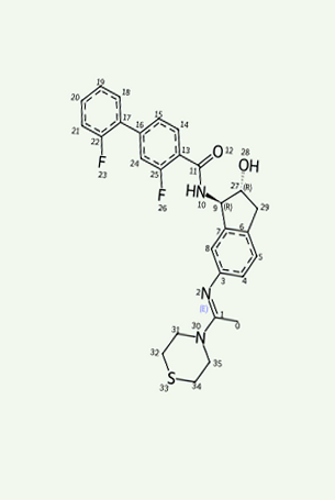 C/C(=N\c1ccc2c(c1)[C@@H](NC(=O)c1ccc(-c3ccccc3F)cc1F)[C@H](O)C2)N1CCSCC1